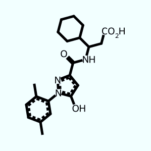 Cc1ccc(C)c(-n2nc(C(=O)NC(CC(=O)O)C3CCCCC3)cc2O)c1